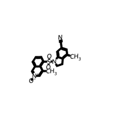 Cc1cc(C#N)cc2c1CCN2S(=O)(=O)c1cccc2c[n+]([O-])cc(C)c12